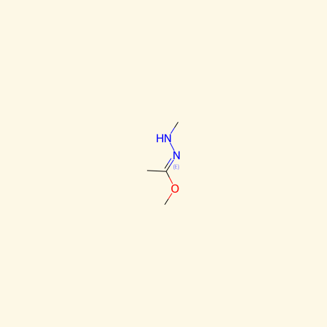 CN/N=C(\C)OC